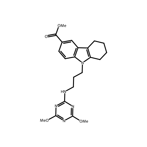 COC(=O)c1ccc2c(c1)c1c(n2CCCNc2nc(OC)nc(OC)n2)CCCC1